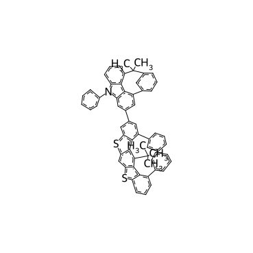 CC(C)(C)c1c2c(cc3sc4cc(-c5cc6c7c8c(cccc8n(-c8ccccc8)c7c5)C(C)(C)c5cccc-6c5)cc(-c5ccccc5)c4c13)sc1cccc(-c3ccccc3)c12